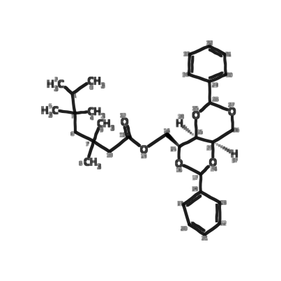 CC(C)C(C)(C)CC(C)(C)CC(=O)OC[C@@H]1OC(c2ccccc2)O[C@@H]2COC(c3ccccc3)O[C@H]12